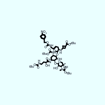 CN(C(=O)OC(C)(C)C)[C@@H]1[C@@H](O)[C@@H](O[C@@H]2[C@@H](O)[C@H](O[C@H]3OC(CNC(=O)OCc4ccc([N+](=O)[O-])cc4)=CC[C@H]3NC3CC(C(=O)OC(C)(C)C)C3)[C@@H](NC(=O)OC(C)(C)C)C[C@H]2NC(=O)[C@@H](O)CCNC(=O)OC(C)(C)C)OC[C@]1(C)O